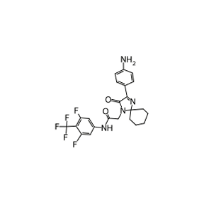 Nc1ccc(C2=NC3(CCCCC3)N(CC(=O)Nc3cc(F)c(C(F)(F)F)c(F)c3)C2=O)cc1